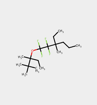 CCCC(C)(CC)C(F)(F)C(F)(F)OC(C)(CC)C(C)(C)C